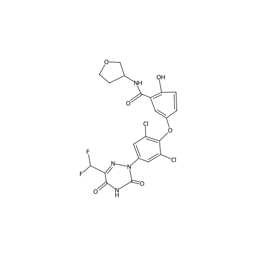 O=C(NC1CCOC1)c1cc(Oc2c(Cl)cc(-n3nc(C(F)F)c(=O)[nH]c3=O)cc2Cl)ccc1O